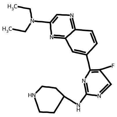 CCN(CC)c1cnc2ccc(-c3nc(NC4CCNCC4)ncc3F)cc2n1